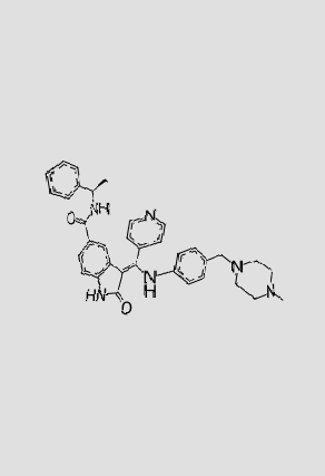 C[C@@H](NC(=O)c1ccc2c(c1)/C(=C(/Nc1ccc(CN3CCN(C)CC3)cc1)c1ccncc1)C(=O)N2)c1ccccc1